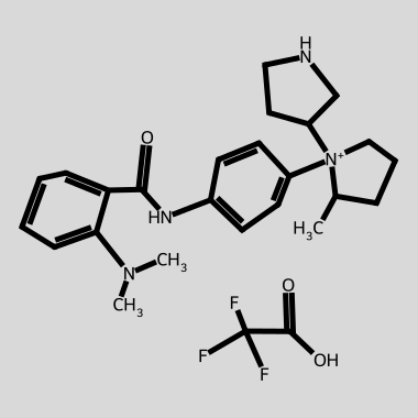 CC1CCC[N+]1(c1ccc(NC(=O)c2ccccc2N(C)C)cc1)C1CCNC1.O=C(O)C(F)(F)F